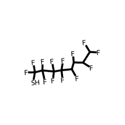 FC(F)C(F)C(F)C(F)C(F)(F)C(F)(F)C(F)(F)C(F)(F)S